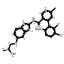 COc1ccc(Cl)c(F)c1-c1cc(C)ncc1C(=O)Nc1nc2ccc(OC[C@H](C)O)cc2s1